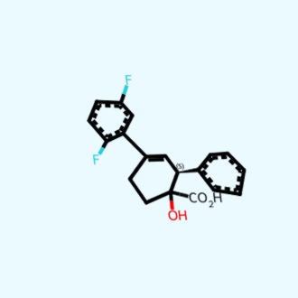 O=C(O)C1(O)CCC(c2cc(F)ccc2F)=C[C@H]1c1ccccc1